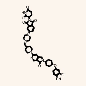 N#Cc1ccc(O[C@H]2CC[C@H](N3Cc4cc(N5CCC(CN6CCN(c7ccc8c(c7)C(=O)N(C7CCC(=O)NC7=O)C8=O)CC6)CC5)ncc4C3=O)CC2)cc1Cl